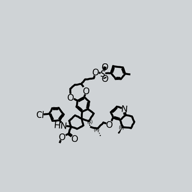 COC(=O)C1(Nc2cccc(Cl)c2)CCC2(CC1)c1cc3c(cc1C[C@@H]2C[C@@H](C)COc1ccnc2c1[C@H](C)CCC2)OC(CCOS(=O)(=O)c1ccc(C)cc1)CCO3